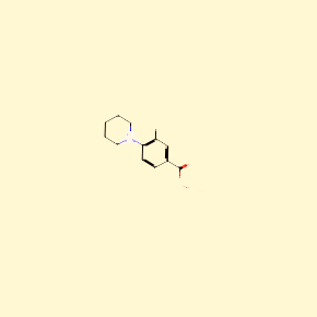 COC(=O)c1ccc(N2CCCCC2)c(C)c1